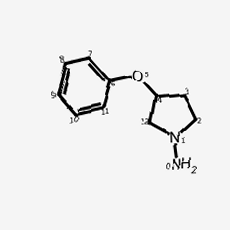 NN1CCC(Oc2ccccc2)C1